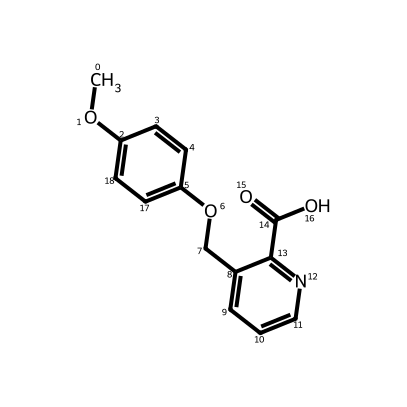 COc1ccc(OCc2cccnc2C(=O)O)cc1